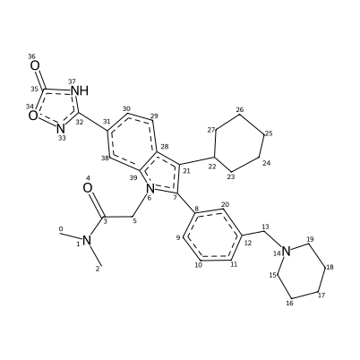 CN(C)C(=O)Cn1c(-c2cccc(CN3CCCCC3)c2)c(C2CCCCC2)c2ccc(-c3noc(=O)[nH]3)cc21